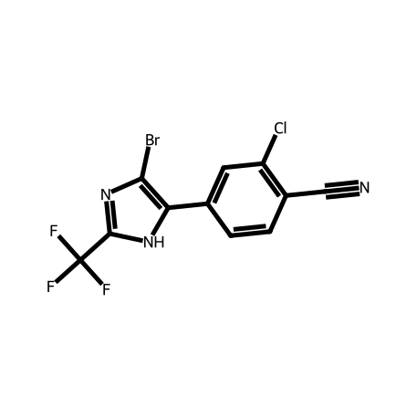 N#Cc1ccc(-c2[nH]c(C(F)(F)F)nc2Br)cc1Cl